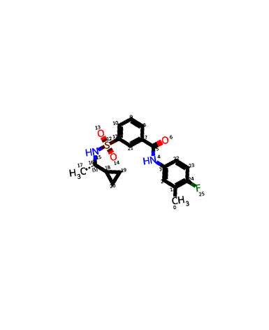 Cc1cc(NC(=O)c2cccc(S(=O)(=O)N[C@@H](C)C3CC3)c2)ccc1F